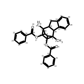 CC12CCC(C)(C(OC(=O)c3ccccc3)C1OC(=O)c1ccccc1)C1c3ccccc3CC12